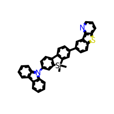 C[Si]1(C)c2cc(-c3ccc4sc5cccnc5c4c3)ccc2-c2ccc(-n3c4ccccc4c4ccccc43)cc21